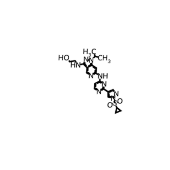 CC(C)n1nc(NCCO)c2cnc(Nc3ccnc(-c4cnn(S(=O)(=O)C5CC5)c4)n3)cc21